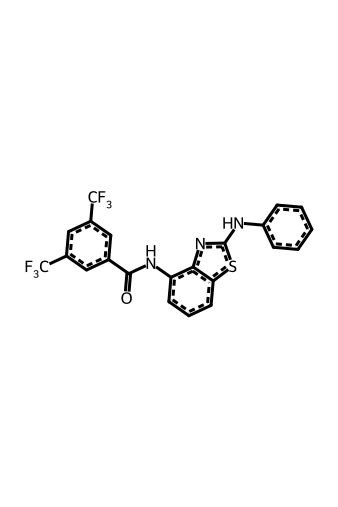 O=C(Nc1cccc2sc(Nc3ccccc3)nc12)c1cc(C(F)(F)F)cc(C(F)(F)F)c1